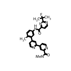 CNC(=O)c1cc(-c2cc(-c3cc(NC(=O)c4ccnc(C(C)(C)F)n4)ccc3C)ccn2)ccn1